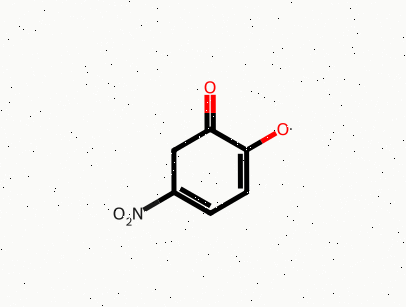 [O]C1=CC=C([N+](=O)[O-])CC1=O